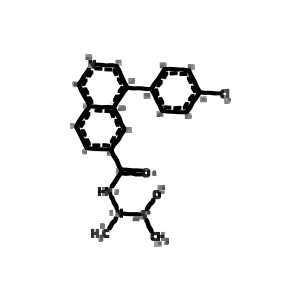 CN(NC(=O)c1ccc2cncc(-c3ccc(Cl)cc3)c2c1)[S+](C)[O-]